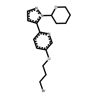 BrCCCOc1ccc(-c2ccnn2C2CCCCO2)nc1